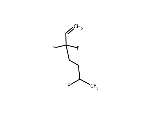 C=CC(F)(F)CCC(F)C(F)(F)F